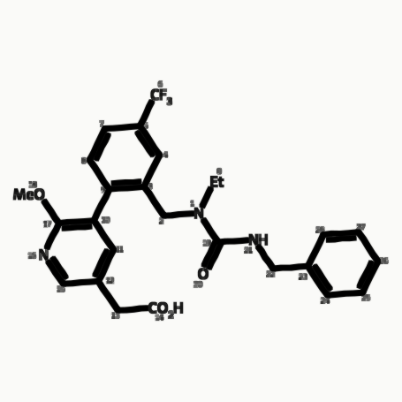 CCN(Cc1cc(C(F)(F)F)ccc1-c1cc(CC(=O)O)cnc1OC)C(=O)NCc1ccccc1